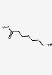 [CH2]CCCCCCCCCCCC(=O)OC